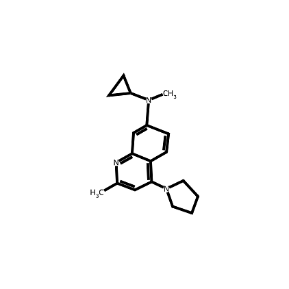 Cc1cc(N2CCCC2)c2ccc(N(C)C3CC3)cc2n1